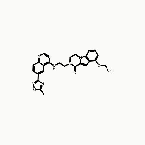 Cc1nc(-c2ccc3ncnc(NCCN4CCn5c(cc6c(OCC(F)(F)F)nccc65)C4=O)c3c2)no1